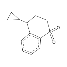 O=S1(=O)CCC(C2CC2)c2ccccc21